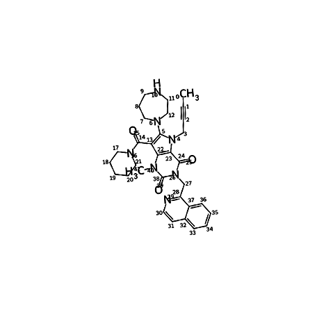 CC#CCn1c(N2CCCNCC2)c(C(=O)N2CCCCC2)c2c1c(=O)n(Cc1nccc3ccccc13)c(=O)n2C